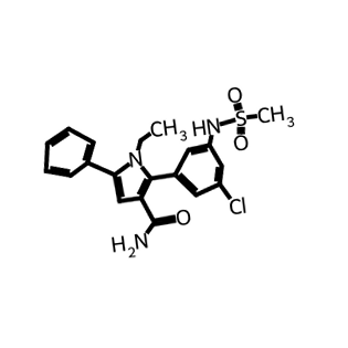 CCn1c(-c2ccccc2)cc(C(N)=O)c1-c1cc(Cl)cc(NS(C)(=O)=O)c1